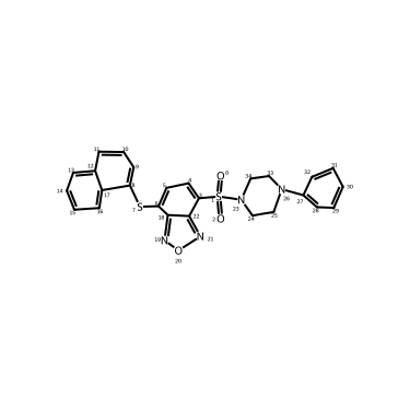 O=S(=O)(c1ccc(Sc2cccc3ccccc23)c2nonc12)N1CCN(c2ccccc2)CC1